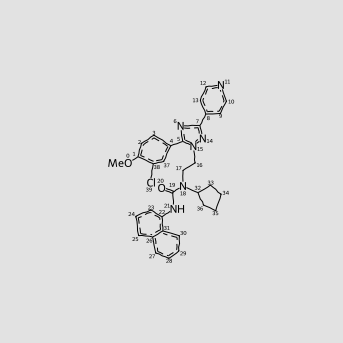 COc1ccc(-c2nc(-c3ccncc3)nn2CCN(C(=O)Nc2cccc3ccccc23)C2CCCC2)cc1Cl